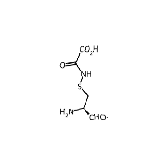 N[C@H]([C]=O)CSNC(=O)C(=O)O